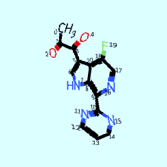 CC(=O)C(=O)c1c[nH]c2c(-c3ncccn3)ncc(F)c12